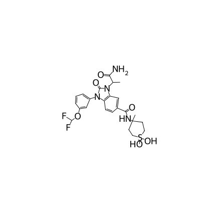 CC(C(N)=O)n1c(=O)n(-c2cccc(OC(F)F)c2)c2ccc(C(=O)NC3(C)CCS(O)(O)CC3)cc21